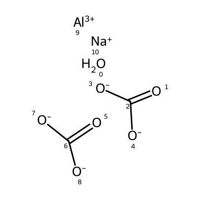 O.O=C([O-])[O-].O=C([O-])[O-].[Al+3].[Na+]